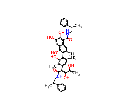 C=C(O)/C(O)=C(/C(=O)NC[C@@H](C)c1ccccc1)c1cc(C)c(-c2c(C)cc3c(C(=O)NC[C@H](C)c4ccccc4)c(O)c(O)cc3c2O)c(O)c1C